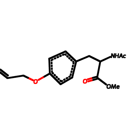 C=CCOc1ccc(CC(NC(C)=O)C(=O)OC)cc1